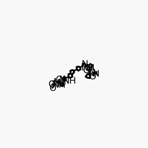 COC(=O)N[C@H](C(=O)N1CCC[C@H]1c1ncc(-c2ccc3cc(-c4ccc(-c5cnc([C@@H]6CCCN6C(=O)[C@H](OC(=O)N(C)C)c6ccccc6)[nH]5)cc4)ccc3c2)[nH]1)C(C)C